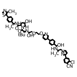 Cc1ncsc1-c1ccc([C@H](C)NC(=O)C2C[C@@H](O)CN2C(=O)[C@@H](NC(O)COCCOc2ccc(-c3ccc(C(O)NC(C)Cn4ccc(-c5ccc(C#N)c(Cl)c5)n4)cc3)cn2)C(C)(C)C)cc1